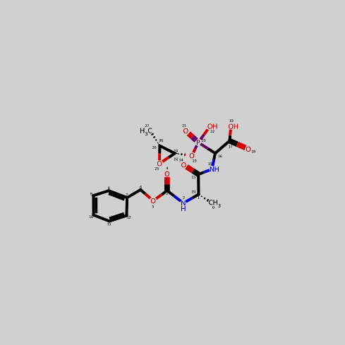 C[C@H](NC(=O)OCc1ccccc1)C(=O)NC(C(=O)O)P(=O)(O)O[C@@H]1O[C@@H]1C